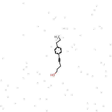 CCCc1ccc(C#CCCCO)cc1